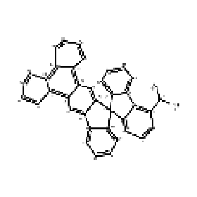 OB(O)c1cccc2c1-c1ccccc1C21c2ccccc2-c2cc3c4ccccc4c4ccccc4c3cc21